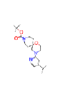 CC(C)c1ccnc(N2CCOC3(CCN(C(=O)OC(C)(C)C)CC3)C2)c1